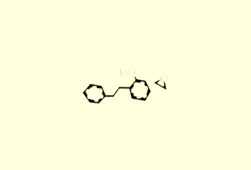 C1CO1.Oc1ccccc1CCc1ccccc1